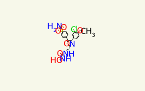 COc1ccc(-c2nc(CCNC(=O)NO)oc2-c2ccc(S(N)(=O)=O)cc2)cc1Cl